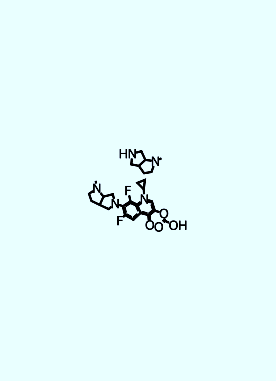 CN1CCC2CN(c3c(F)cc4c(=O)c(OC(=O)O)cn(C5CC5)c4c3F)CC21.CN1CCC2CNCC21